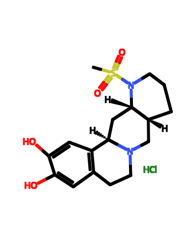 CS(=O)(=O)N1CCC[C@@H]2CN3CCc4cc(O)c(O)cc4[C@H]3C[C@@H]21.Cl